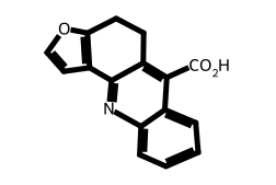 O=C(O)c1c2c(nc3ccccc13)-c1ccoc1CC2